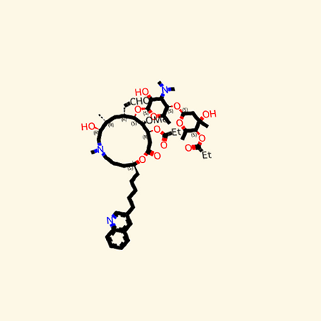 CCC(=O)O[C@@H]1CC(=O)O[C@@H](CCCCCc2cnc3ccccc3c2)CCCN(C)C[C@H](O)[C@H](C)C[C@H](CC=O)[C@H](O[C@@H]2OC(C)[C@@H](O[C@H]3CC(C)(O)[C@@H](OC(=O)CC)C(C)O3)C(N(C)C)C2O)[C@H]1OC